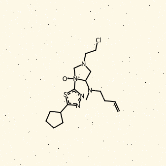 C=CCCN(C)C1CN(CCCl)C[N+]1([O-])c1nnc(C2CCCC2)s1